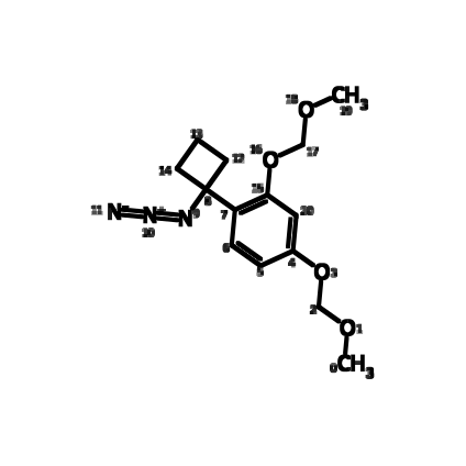 COCOc1ccc(C2(N=[N+]=[N-])CCC2)c(OCOC)c1